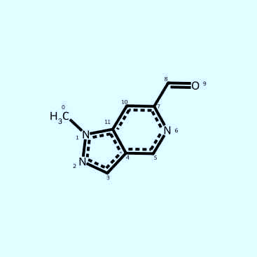 Cn1ncc2cnc(C=O)cc21